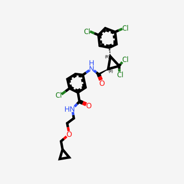 O=C(NCCOCC1CC1)c1cc(NC(=O)[C@H]2[C@H](c3cc(Cl)cc(Cl)c3)C2(Cl)Cl)ccc1Cl